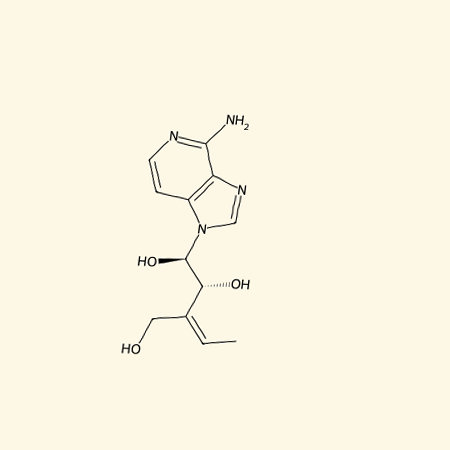 C/C=C(/CO)[C@@H](O)[C@@H](O)n1cnc2c(N)nccc21